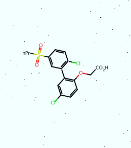 CCCS(=O)(=O)c1ccc(Cl)c(-c2cc(Cl)ccc2OCC(=O)O)c1